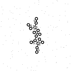 c1ccc(-c2ccccc2-c2nc(-c3ccc4c(c3)sc3ccccc34)nc(-c3cc(-c4ccc(C5(c6ccccc6)c6ccccc6-c6c(-c7nc(-c8ccc9c(c8)sc8ccccc89)nc(-c8cccc9c8sc8ccccc89)n7)cccc65)cc4)cc4c3sc3ccccc34)n2)cc1